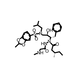 CC[C@H](C)CC(=O)N(NC(=O)CNC)[C@@H](Cc1ccccc1)[C@H](O)CN(CC(C)C)S(=O)(=O)c1ccc2c(c1)OC(C)O2